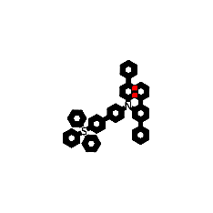 c1ccc(-c2ccc(N(c3ccc(-c4ccc(S(c5ccccc5)(c5ccccc5)c5ccccc5)cc4)cc3)c3cc(-c4ccccc4)ccc3-c3ccccc3)cc2)cc1